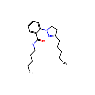 CCCCCNC(=O)c1ccccc1N1CCC(CCCCC)=N1